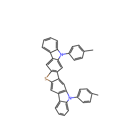 Cc1ccc(-n2c3ccccc3c3cc4sc5cc6c7ccccc7n(-c7ccc(C)cc7)c6cc5c4cc32)cc1